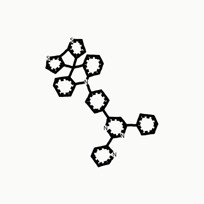 c1ccc(-c2cc(-c3ccc(N4c5ccccc5C5(c6ccccc64)c4ccsc4-c4sccc45)cc3)nc(-c3ccccn3)n2)cc1